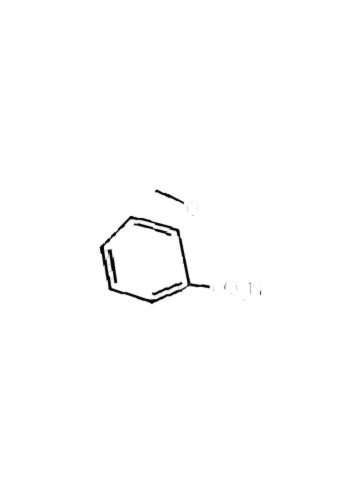 CCl.O=C(O)c1ccccc1